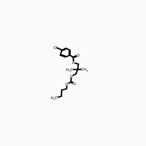 CCCCOC(=O)OCC(C)(C)COC(=O)c1ccc(Cl)cc1